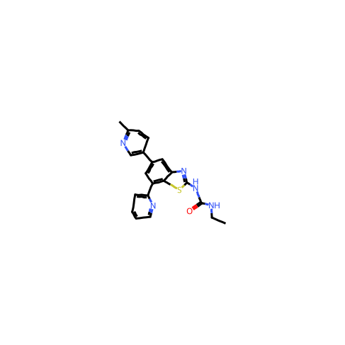 CCNC(=O)Nc1nc2cc(-c3ccc(C)nc3)cc(-c3ccccn3)c2s1